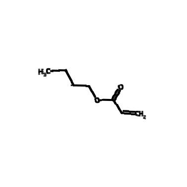 C=CC(=O)OC[CH]CC